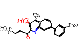 CCOC(=O)CCC(=O)c1nc2cc(-c3cccc(OC)c3)ccc2c(C#N)c1O